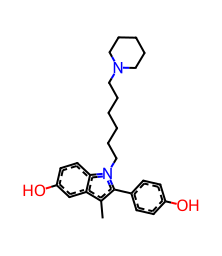 Cc1c(-c2ccc(O)cc2)n(CCCCCCN2CCCCC2)c2ccc(O)cc12